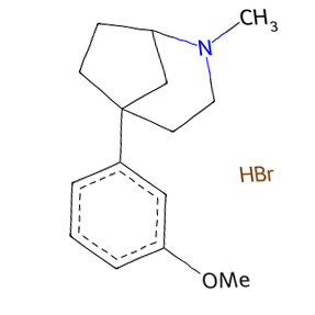 Br.COc1cccc(C23CCC(C2)N(C)CC3)c1